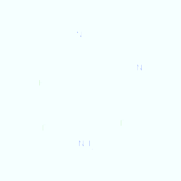 N#Cc1c(F)c(N)c(F)c(F)c1C#N